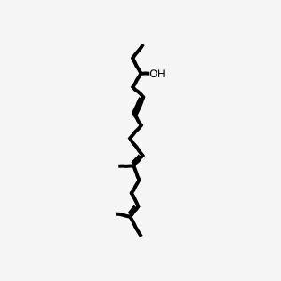 CCC(O)C/C=C/CC/C=C(\C)CCC=C(C)C